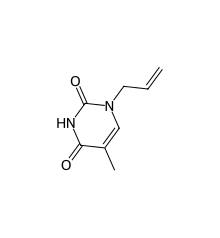 C=CCn1cc(C)c(=O)[nH]c1=O